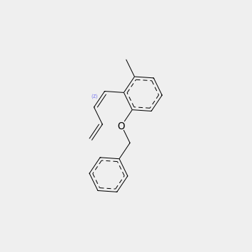 C=C/C=C\c1c(C)cccc1OCc1ccccc1